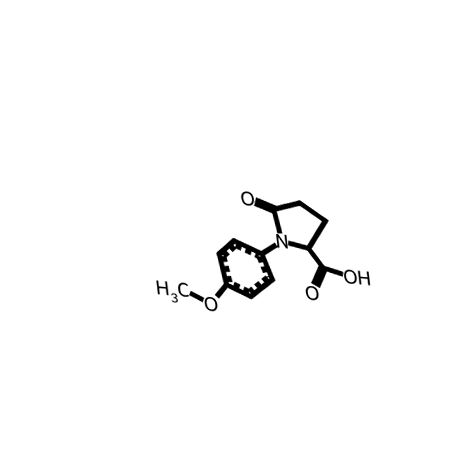 COc1ccc(N2C(=O)CCC2C(=O)O)cc1